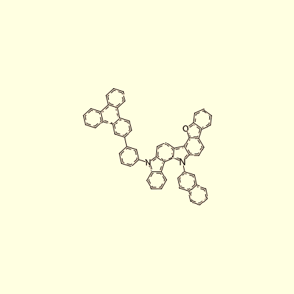 c1cc(-c2ccc3c4ccccc4c4ccccc4c3c2)cc(-n2c3ccccc3c3c2ccc2c4c5oc6ccccc6c5ccc4n(-c4ccc5ccccc5c4)c23)c1